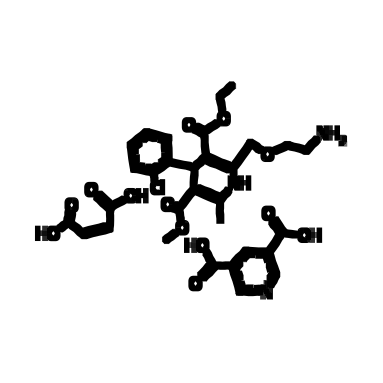 CCOC(=O)C1=C(COCCN)NC(C)=C(C(=O)OC)C1c1ccccc1Cl.O=C(O)/C=C\C(=O)O.O=C(O)c1cncc(C(=O)O)c1